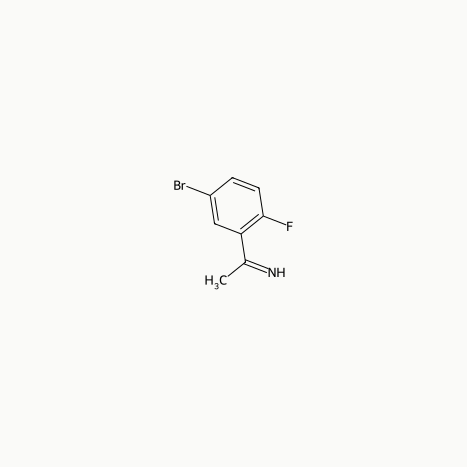 CC(=N)c1cc(Br)ccc1F